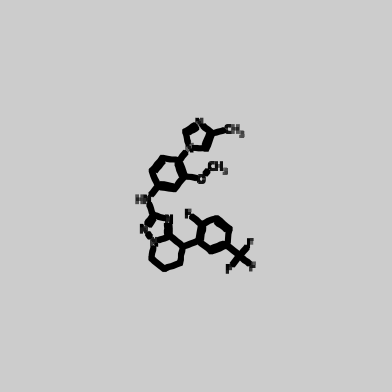 COc1cc(Nc2nc3n(n2)CCCC3c2cc(C(F)(F)F)ccc2F)ccc1-n1cnc(C)c1